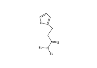 CCN(CC)C(=S)CCc1ccco1